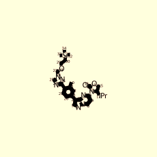 Cc1cc(-c2cnn3ccc(N4C(=O)OCC4C(C)C)nc23)ccc1-c1ncn(COCC[Si](C)(C)C)n1